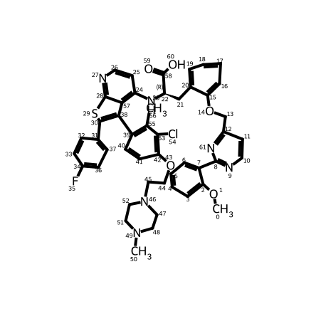 COc1ccccc1-c1nccc(COc2ccccc2C[C@@H](Nc2ccnc3sc(-c4ccc(F)cc4)c(-c4ccc(OCCN5CCN(C)CC5)c(Cl)c4C)c23)C(=O)O)n1